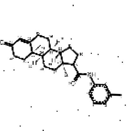 Cc1cccc(NC(=O)C2CC[C@H]3[C@@H]4CCC5=CC(=O)CC[C@]5(C)[C@@H]4CC[C@]23C)c1